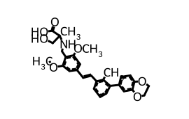 COc1cc(/C=C/c2cccc(-c3ccc4c(c3)OCCO4)c2C)cc(OC)c1CNC(C)(CO)C(=O)O